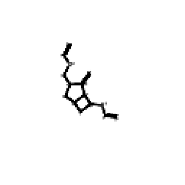 C=COCC1CC2CC(OC=C)C2C1=C